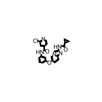 O=C(Nc1cccc(Oc2ccc3nc(NC(=O)C4CC4)cn3c2)c1)c1ccnc(Cl)c1